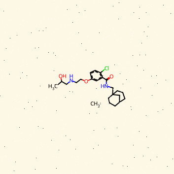 CC(O)CNCCOc1ccc(Cl)c(C(=O)NCC23CCCC(CCC2)C3)c1.[CH2]